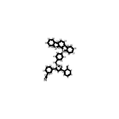 CC1CC=CC=C1c1cc(-c2cccc(C#N)c2)n(Cc2ccc(-n3c4ccccc4c4ccc5c6ccccc6sc5c43)cc2)n1